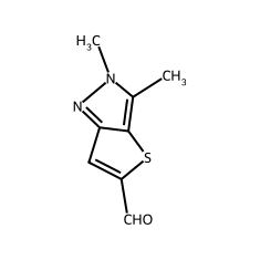 Cc1c2sc(C=O)cc2nn1C